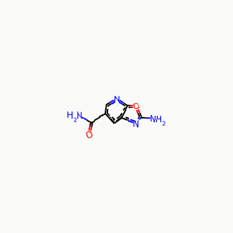 NC(=O)c1cnc2oc(N)nc2c1